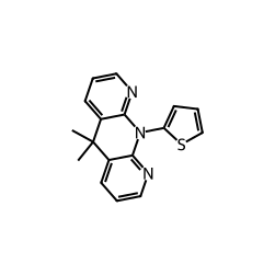 CC1(C)c2cccnc2N(c2cccs2)c2ncccc21